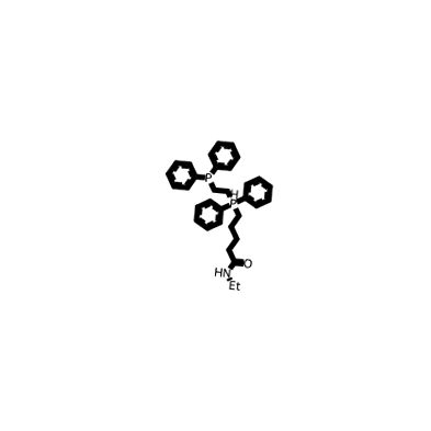 CCNC(=O)CCCC[PH](CCP(c1ccccc1)c1ccccc1)(c1ccccc1)c1ccccc1